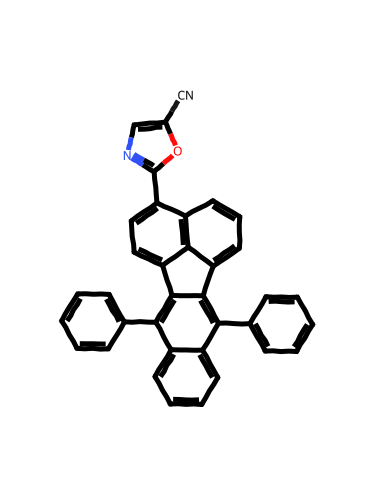 N#Cc1cnc(-c2ccc3c4c(cccc24)-c2c-3c(-c3ccccc3)c3ccccc3c2-c2ccccc2)o1